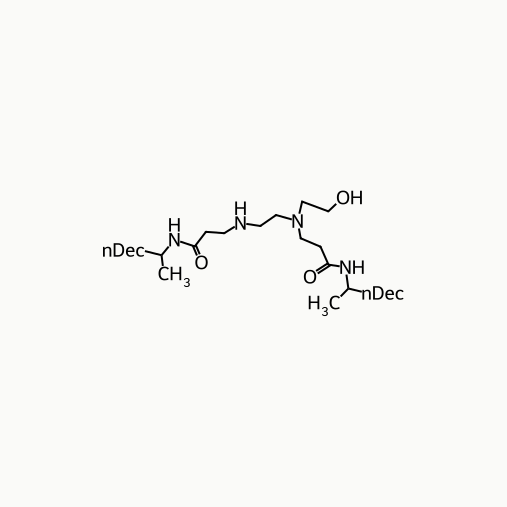 CCCCCCCCCCC(C)NC(=O)CCNCCN(CCO)CCC(=O)NC(C)CCCCCCCCCC